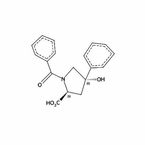 O=C(O)[C@@H]1C[C@](O)(c2ccccc2)CN1C(=O)c1ccccc1